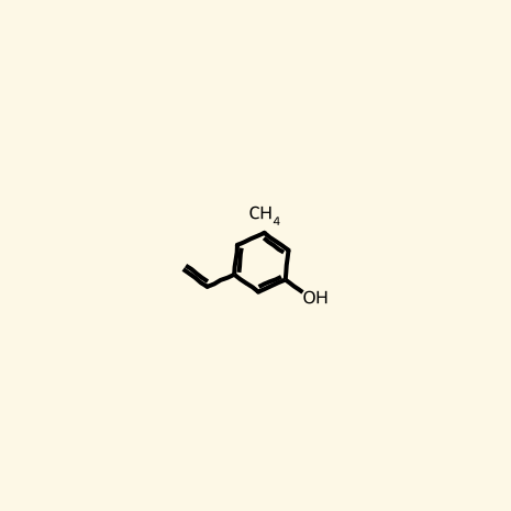 C.C=Cc1cccc(O)c1